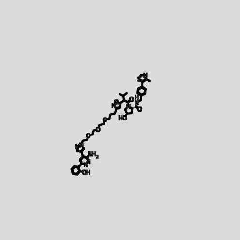 Cc1ncsc1-c1ccc(CNC(=O)[C@@H]2C[C@@H](O)CN2C(=O)C(c2cc(CCCOCCOCCOCCn3cc(-c4cc(-c5ccccc5O)nnc4N)cn3)no2)C(C)C)cc1